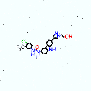 O=C(Nc1ccc(Cl)c(C(F)(F)F)c1)NC1CCc2[nH]c3cc(-c4cnn(CCO)c4)ccc3c2C1